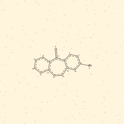 CC(C)c1ccc2c(=O)c3ccccc3ccc2c1